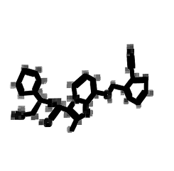 Cc1nc2c(OCc3ccccc3C#N)cccn2c1C(=O)N[C@@H](CO)c1ccccc1